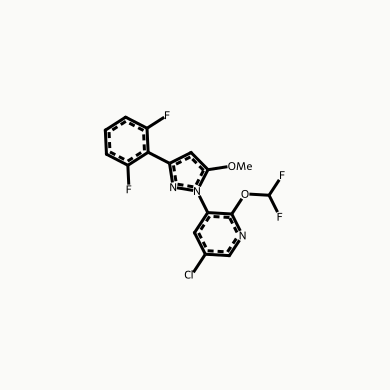 COc1cc(-c2c(F)cccc2F)nn1-c1cc(Cl)cnc1OC(F)F